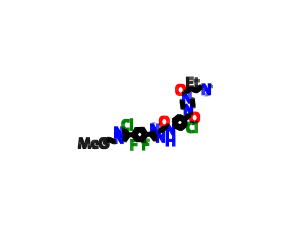 CCC(CCN(C)C)C(=O)N1CCN(C(=O)c2ccc(NC(=O)c3ncc(-c4ccc(-c5cn(CCOC)nc5Cl)c(F)c4F)n3C)cc2Cl)CC1